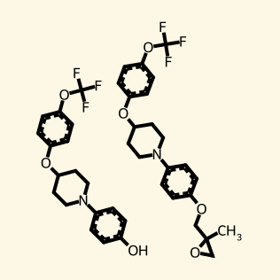 CC1(COc2ccc(N3CCC(Oc4ccc(OC(F)(F)F)cc4)CC3)cc2)CO1.Oc1ccc(N2CCC(Oc3ccc(OC(F)(F)F)cc3)CC2)cc1